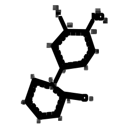 O=c1ccccn1-c1ccc([N+](=O)[O-])c(F)c1